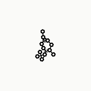 c1ccc(-c2cc(-c3cccc(-c4ccc5c6cc(-c7ccccc7)ccc6n(-c6ccccc6)c5c4)c3)cc(N(c3ccccc3)c3ccc4c(c3)C(c3ccccc3)(c3ccccc3)c3ccccc3-4)c2)cc1